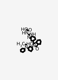 CCN(c1ccccc1)c1cccc(N2C(=O)c3ccccc3C2(O)c2ccc3[nH]c(NC(=O)O)nc3c2)c1